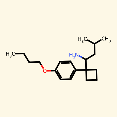 CCCCOc1ccc(C2(C(N)CC(C)C)CCC2)cc1